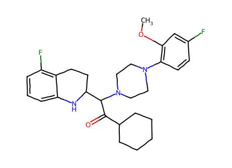 COc1cc(F)ccc1N1CCN(C(C(=O)C2CCCCC2)C2CCc3c(F)cccc3N2)CC1